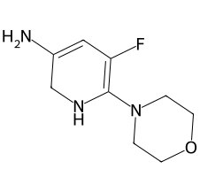 NC1=CC(F)=C(N2CCOCC2)NC1